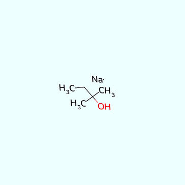 CCC(C)(C)O.[Na]